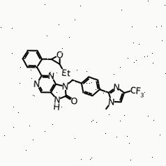 CCC1OC1c1ccccc1-c1ncc2[nH]c(=O)n(Cc3ccc(-c4nc(C(F)(F)F)cn4C)cc3)c2n1